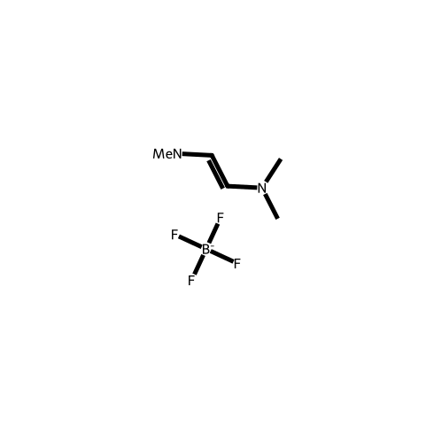 C[NH2+]C=CN(C)C.F[B-](F)(F)F